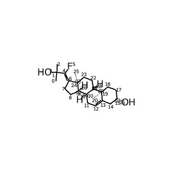 CC(C)(O)C(F)=C1CC[C@H]2[C@@H]3CC=C4C[C@@H](O)CC[C@]4(C)[C@H]3CC[C@]12C